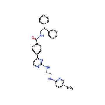 O=C(NCC(c1ccccc1)c1ccccc1)c1ccc(-c2ccnc(NCCNc3ccc([N+](=O)[O-])cn3)n2)cc1